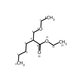 CCCCC(COCC)C(=O)OCC